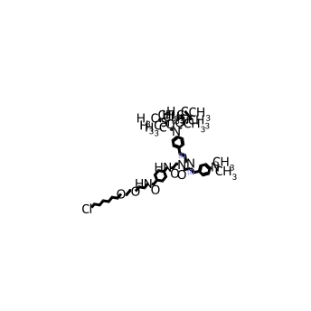 CN(C)c1ccc(/C=C2N=C(/C=C/c3ccc(N(CO[Si](C)(C)C(C)(C)C)CO[Si](C)(C)C(C)(C)C)cc3)N(CC(=O)NC3CCC(C(=O)NCCOCCOCCCCCCCl)CC3)C\2=O)cc1